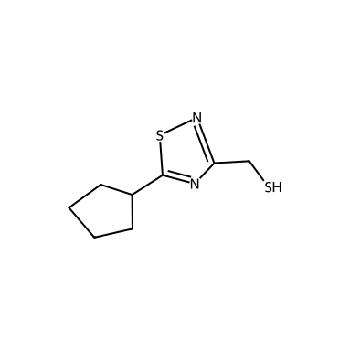 SCc1nsc(C2CCCC2)n1